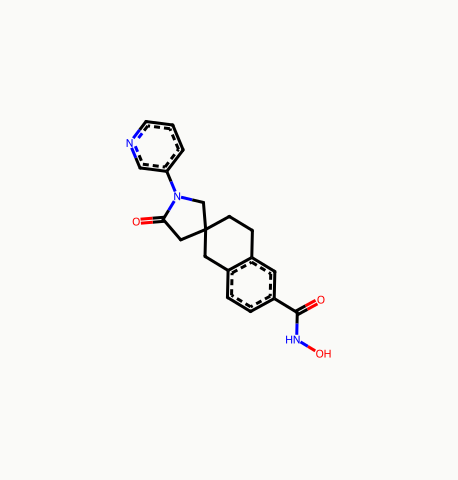 O=C(NO)c1ccc2c(c1)CCC1(CC(=O)N(c3cccnc3)C1)C2